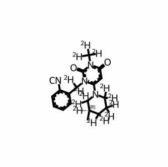 [2H]C([2H])([2H])n1c(=O)cc(N2C([2H])([2H])C([2H])([2H])C([2H])([2H])[C@@]([2H])(C)C2([2H])[2H])n(C([2H])([2H])c2ccccc2C#N)c1=O